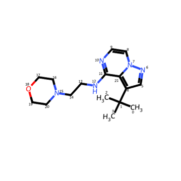 CC(C)(C)c1cnn2ccnc(NCCN3CCOCC3)c12